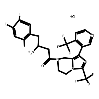 Cl.NC(CC(=O)N1CCn2c(C(F)(F)F)nc(-c3cnccc3C(F)(F)F)c2C1)Cc1cc(F)c(F)cc1F